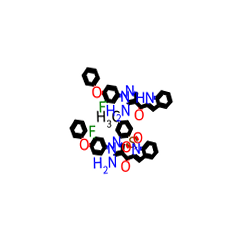 Cc1ccc(S(=O)(=O)n2c(C(=O)c3cnn(-c4ccc(Oc5ccccc5)c(F)c4)c3N)cc3ccccc32)cc1.Nc1c(C(=O)c2cc3ccccc3[nH]2)cnn1-c1ccc(Oc2ccccc2)c(F)c1